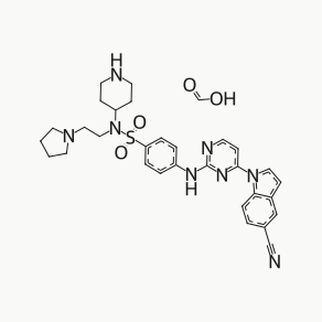 N#Cc1ccc2c(ccn2-c2ccnc(Nc3ccc(S(=O)(=O)N(CCN4CCCC4)C4CCNCC4)cc3)n2)c1.O=CO